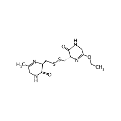 CCOC1=N[C@H](CSSC[C@@H]2N=C(C)CNC2=O)C(=O)NC1